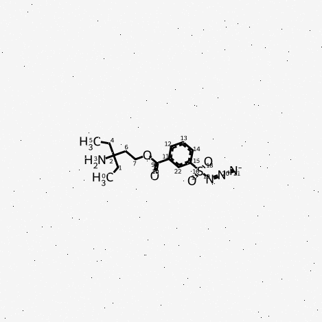 CCC(N)(CC)CCOC(=O)c1cccc(S(=O)(=O)N=[N+]=[N-])c1